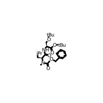 CC(C)C[C@@H](C(=O)N[C@@H](COC(C)(C)C)C(=O)OC(C)(C)C)N(C)C(=O)OCc1ccccc1